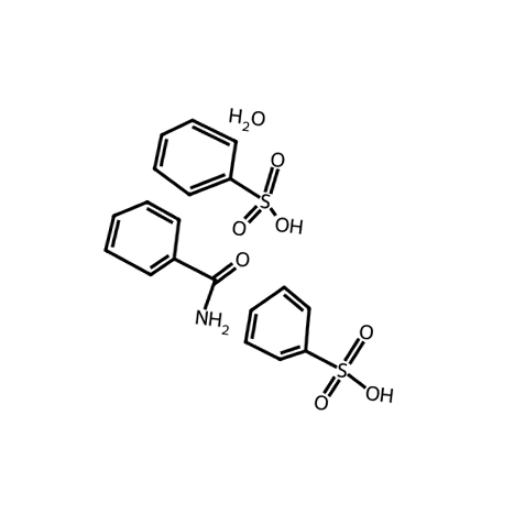 NC(=O)c1ccccc1.O.O=S(=O)(O)c1ccccc1.O=S(=O)(O)c1ccccc1